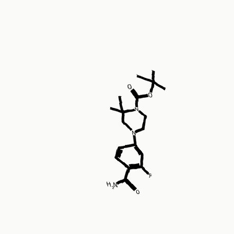 CC(C)(C)OC(=O)N1CCN(c2ccc(C(N)=O)c(F)c2)CC1(C)C